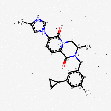 Cc1cn(-c2ccc3n(c2=O)C[C@@H](C)N(Cc2cc(C4CC4)cc(C(F)(F)F)c2)C3=O)cn1